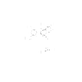 Cc1c(Cl)ccc2c(NCCCN(C)C)nc(-c3cc(Br)cc(C(F)(F)F)c3)nc12